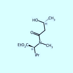 CCOC(=O)[C@H](C(C)C)N(C)C(=O)C[C@@H](C)O